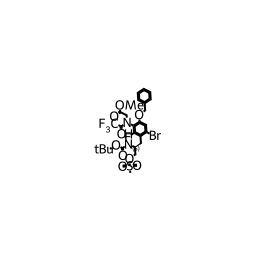 COC(=O)CN(C(=O)C(F)(F)F)c1c(OCc2ccccc2)cc(Br)c(C[C@@H](COS(C)(=O)=O)NC(=O)OC(C)(C)C)c1F